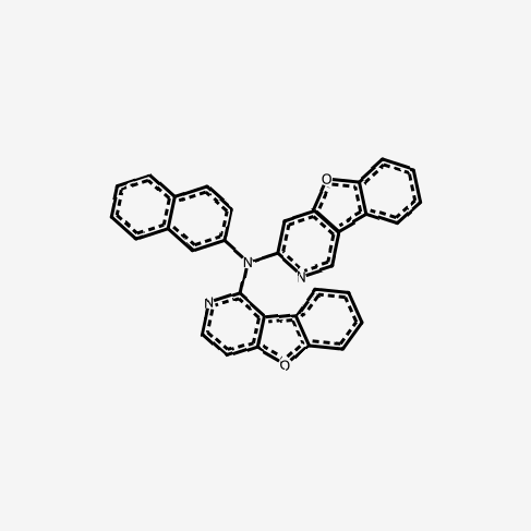 c1ccc2cc(N(c3cc4oc5ccccc5c4cn3)c3nccc4oc5ccccc5c34)ccc2c1